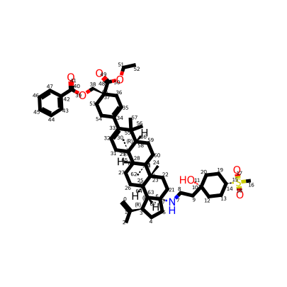 C=C(C)[C@@H]1CC[C@]2(NCC[C@]3(O)CC[C@@H](S(C)(=O)=O)CC3)CC[C@]3(C)[C@H](CC[C@@H]4[C@@]5(C)CC=C(C6=CC[C@@](COC(=O)c7ccccc7)(C(=O)OCC)CC6)C(C)(C)[C@@H]5CC[C@]43C)[C@@H]12